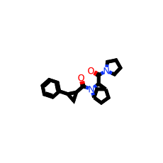 O=C(C1C2CCC(C2)N1C(=O)C1CC1c1ccccc1)N1CCCC1